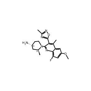 COc1cc(F)c2nc(N3CC[C@@H](N)C[C@@H]3C)c(-c3nc(C)no3)c(C)c2c1